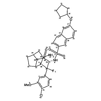 COc1cc(C(F)(F)[C@@H](NS(=O)(=O)c2ccc3cc(OC4CCCC4)ccc3c2)C(=O)N2C3CCC2CC(N)C3)ccc1Cl